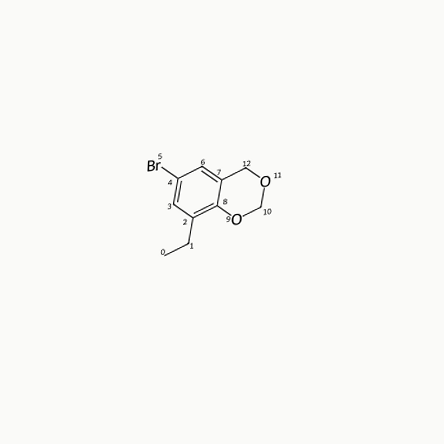 CCc1cc(Br)cc2c1OCOC2